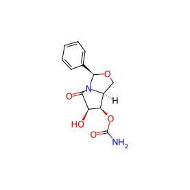 NC(=O)O[C@H]1[C@@H](O)C(=O)N2[C@@H](c3ccccc3)OC[C@@H]12